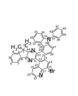 CC1(C)c2ccccc2-c2nc(-c3ccc(Br)c4ncccc34)c(-c3cccc4c3c3ccccc3n4-c3ccccc3)nc21